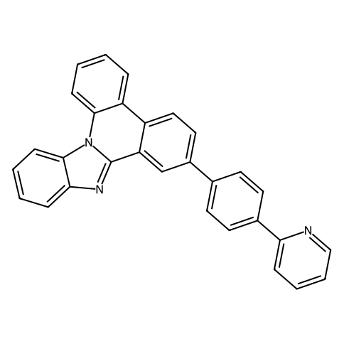 c1ccc(-c2ccc(-c3ccc4c5ccccc5n5c6ccccc6nc5c4c3)cc2)nc1